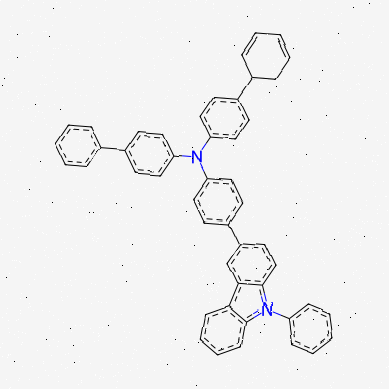 C1=CCC(c2ccc(N(c3ccc(-c4ccccc4)cc3)c3ccc(-c4ccc5c(c4)c4ccccc4n5-c4ccccc4)cc3)cc2)C=C1